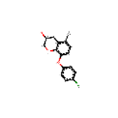 N#Cc1ccc(Oc2ccc(Cl)cc2)c2c1CC(O)CO2